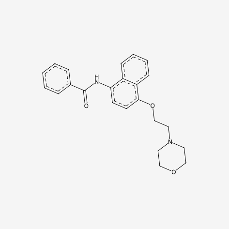 O=C(Nc1ccc(OCCN2CCOCC2)c2ccccc12)c1ccccc1